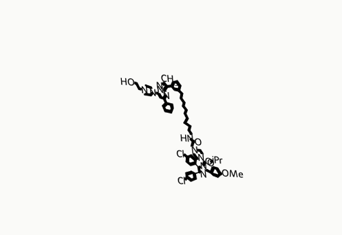 COc1ccc(C2=N[C@@H](c3ccc(Cl)cc3)[C@@H](c3ccc(Cl)cc3)N2C(=O)N2CCN(CC(=O)NCCCCCCCCCCCc3cccc(-c4c(C)nn5c(N6CCN(CCO)CC6)cc(-c6ccccc6)nc45)c3)CC2)c(OC(C)C)c1